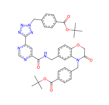 CC(C)(C)OC(=O)c1ccc(CN2C(=O)COc3ccc(CNC(=O)c4cc(-c5nnn(Cc6ccc(C(=O)OC(C)(C)C)cc6)n5)ncn4)cc32)cc1